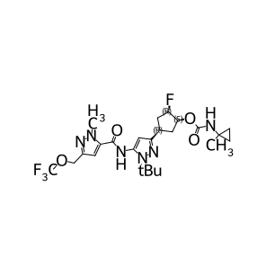 Cn1nc(COC(F)(F)F)cc1C(=O)Nc1cc([C@H]2C[C@@H](F)[C@@H](OC(=O)NC3(C)CC3)C2)nn1C(C)(C)C